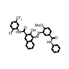 COc1ccc(C(=O)Nc2ccccc2)cc1N=Nc1c(O)c(C(=O)Nc2cc(C(F)(F)F)ccc2Cl)cc2ccccc12